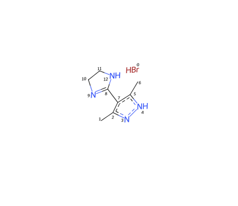 Br.Cc1n[nH]c(C)c1C1=NCCN1